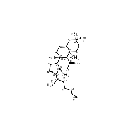 CC[C@]1(O)CC[C@@]2(C)C(=CC[C@@H]3C2C(=O)C[C@@]2(C)C3CC[C@@H]2[C@H](C)CCCC(C)(C)C)C1